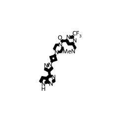 CNCc1cc(C(=O)N2CCN(C3CC(n4cc(-c5ncnc6[nH]ccc56)cn4)C3)CC2)nc(C(F)(F)F)n1